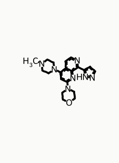 CN1CCN(c2cc(N3CCOCC3)nc3c(-c4ccn[nH]4)nccc23)CC1